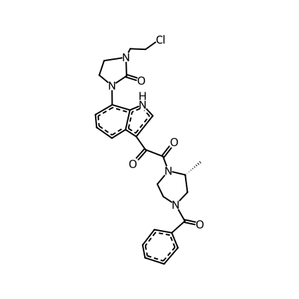 C[C@@H]1CN(C(=O)c2ccccc2)CCN1C(=O)C(=O)c1c[nH]c2c(N3CCN(CCCl)C3=O)cccc12